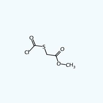 COC(=O)CSC(=O)Cl